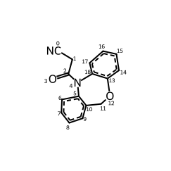 N#CCC(=O)N1c2ccccc2COc2ccccc21